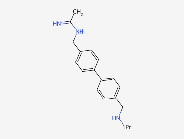 CC(=N)NCc1ccc(-c2ccc(CNC(C)C)cc2)cc1